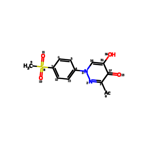 CC(=O)c1nn(-c2ccc(S(C)(=O)=O)cc2)cc(O)c1=O